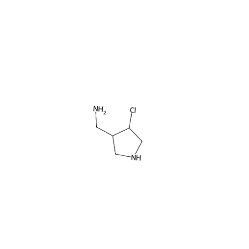 NCC1CNCC1Cl